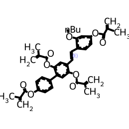 C=C(C)C(=O)Oc1ccc(-c2cc(OC(=O)C(=C)C)c(/C=C/c3ccc(OC(=O)C(=C)C)cc3OCCCC)cc2OC(=O)C(=C)C)cc1